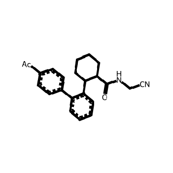 CC(=O)c1ccc(-c2ccccc2C2CCCCC2C(=O)NCC#N)cc1